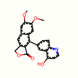 COc1cc2cc3c(c(-c4ccc5nccc(O)c5c4)c2cc1OC)C(=O)OC3